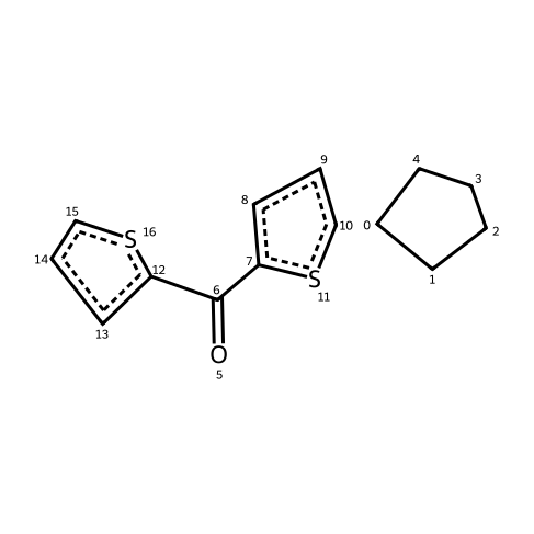 C1CCCC1.O=C(c1cccs1)c1cccs1